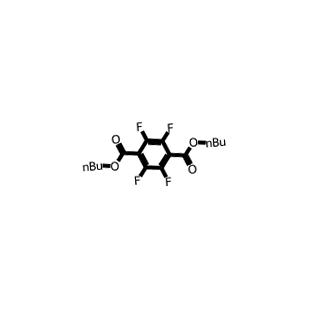 CCCCOC(=O)c1c(F)c(F)c(C(=O)OCCCC)c(F)c1F